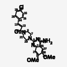 COc1cc2nc(N3CCN(C(=O)/C=C/c4ccc(Cl)cc4)CC3)nc(N)c2cc1OC